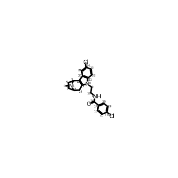 CN1C2CCC1c1c(n(CCNC(=O)c3ccc(Cl)cc3)c3ccc(Cl)cc13)C2